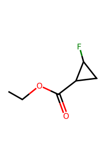 CCOC(=O)C1CC1F